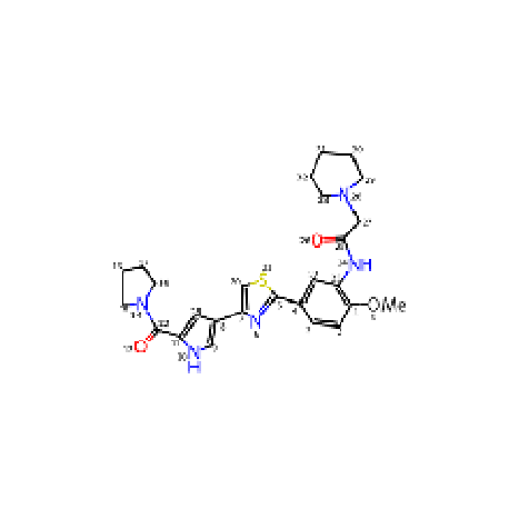 COc1ccc(-c2nc(-c3c[nH]c(C(=O)N4CCCC4)c3)cs2)cc1NC(=O)CN1CCCCC1